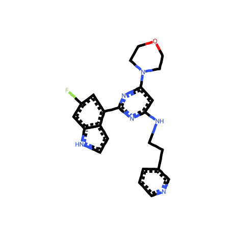 Fc1cc(-c2nc(NCCc3cccnc3)cc(N3CCOCC3)n2)c2cc[nH]c2c1